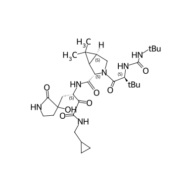 CC(C)(C)NC(=O)N[C@H](C(=O)N1C[C@H]2C([C@H]1C(=O)N[C@@H](CC1(O)CCNC1=O)C(=O)C(=O)NCC1CC1)C2(C)C)C(C)(C)C